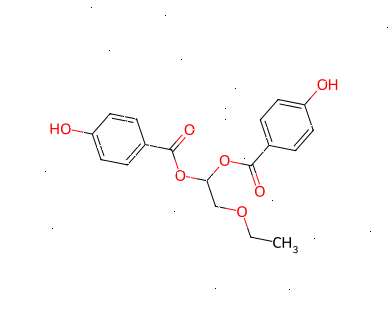 CCOCC(OC(=O)c1ccc(O)cc1)OC(=O)c1ccc(O)cc1